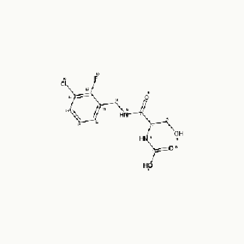 O=C(O)NC(CO)C(=O)NCc1cccc(Cl)c1F